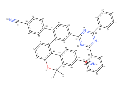 CC1(C)Oc2cccc(-c3cc(-c4nc(-c5ccccc5)nc(-c5ccccc5)n4)ccc3-c3ccc(C#N)cc3)c2-c2ccc(C#N)cc21